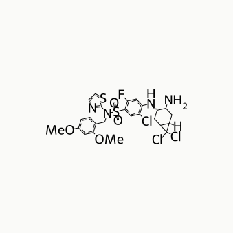 COc1ccc(CN(c2nccs2)S(=O)(=O)c2cc(Cl)c(N[C@H]3CC4[C@H](CC3N)C4(Cl)Cl)cc2F)c(OC)c1